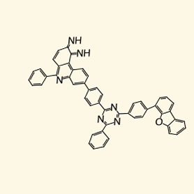 N=C1C=Cc2c(-c3ccccc3)nc3cc(-c4ccc(-c5nc(-c6ccccc6)nc(-c6ccc(-c7cccc8c7oc7ccccc78)cc6)n5)cc4)ccc3c2C1=N